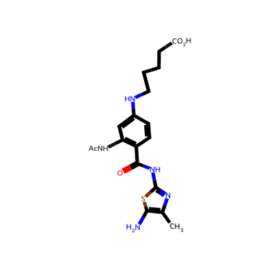 CC(=O)Nc1cc(NCCCCC(=O)O)ccc1C(=O)Nc1nc(C)c(N)s1